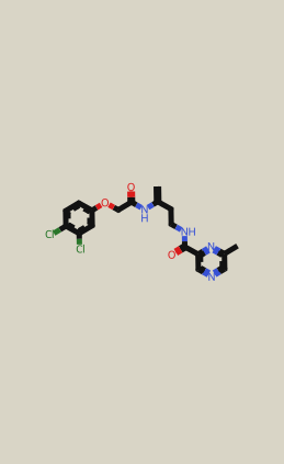 C=C(CCNC(=O)c1cncc(C)n1)NC(=O)COc1ccc(Cl)c(Cl)c1